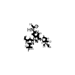 CCc1cc(-n2nc(N3CCC(C)(N(C)CC)C3)c3cnc(NC(C)=O)cc32)nc(C(C)(C)F)n1